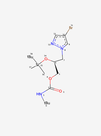 CC(C)(C)NC(=O)OC[C@H](Cn1cc(Br)cn1)O[Si](C)(C)C(C)(C)C